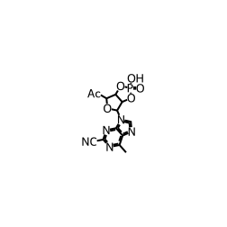 CC(=O)C1OC(n2cnc3c(C)nc(C#N)nc32)C2OP(=O)(O)OC12